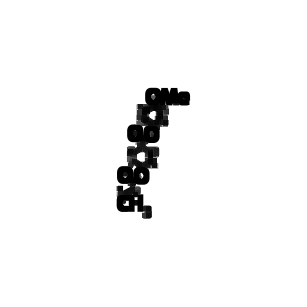 C/C=C/C(=O)OC1CCC(C(=O)Oc2ccc(OC)cc2)CC1